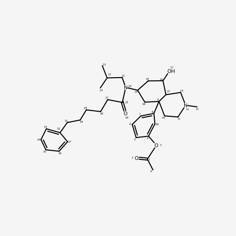 CC(=O)Oc1cccc(C23CCN(C)CC2C(O)CC(N(CC(C)C)C(=O)CCCCCc2ccccc2)C3)c1